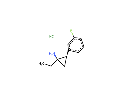 CC[C@@]1(N)C[C@@H]1c1cccc(F)c1.Cl